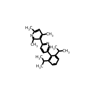 Cc1cc(C)c(-c2ccc(-c3c(C(C)C)cccc3C(C)C)cn2)c(C)n1